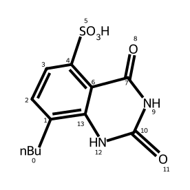 CCCCc1ccc(S(=O)(=O)O)c2c(=O)[nH]c(=O)[nH]c12